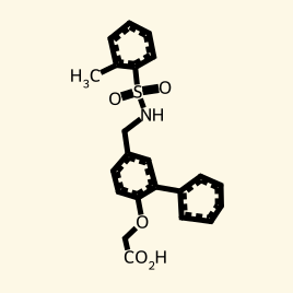 Cc1ccccc1S(=O)(=O)NCc1ccc(OCC(=O)O)c(-c2ccccc2)c1